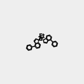 C[CH2][Zr]([CH]1C=Cc2c(-c3ccccc3)cccc21)[CH]1C=Cc2c(-c3ccccc3)cccc21